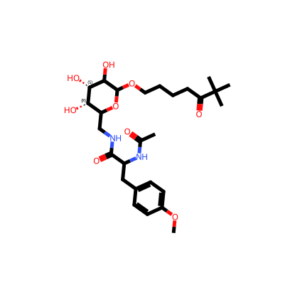 COc1ccc(CC(NC(C)=O)C(=O)NCC2OC(OCCCCC(=O)C(C)(C)C)C(O)[C@@H](O)[C@H]2O)cc1